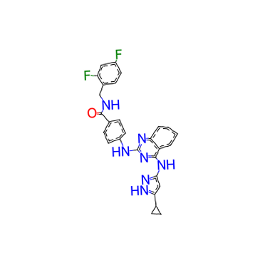 O=C(NCc1ccc(F)cc1F)c1ccc(Nc2nc(Nc3cc(C4CC4)[nH]n3)c3ccccc3n2)cc1